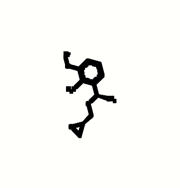 Bc1c(OC(C)C)cccc1[C@@H](C)OC[C@H]1CO1